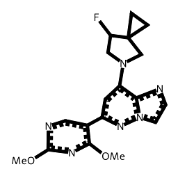 COc1ncc(-c2cc(N3CC(F)C4(CC4)C3)c3nccn3n2)c(OC)n1